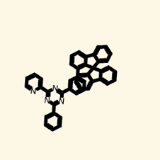 c1ccc(-c2nc(-c3cccc(-c4cccc5c4C4(c6ccccc6-c6ccccc64)c4ccccc4-5)c3)nc(-c3ccccn3)n2)cc1